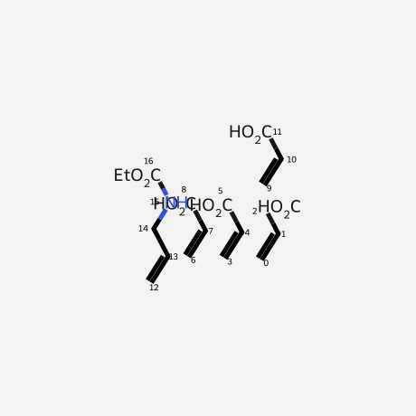 C=CC(=O)O.C=CC(=O)O.C=CC(=O)O.C=CC(=O)O.C=CCNC(=O)OCC